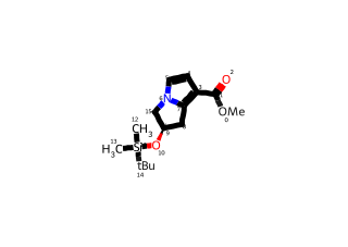 COC(=O)c1ccn2c1C[C@@H](O[Si](C)(C)C(C)(C)C)C2